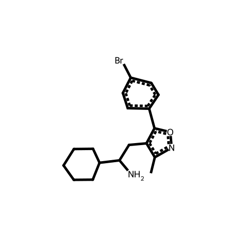 Cc1noc(-c2ccc(Br)cc2)c1CC(N)C1CCCCC1